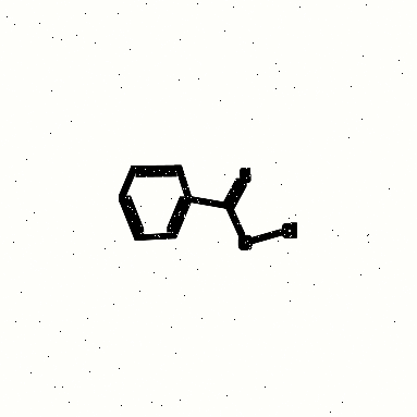 S=C(OCl)c1ccccc1